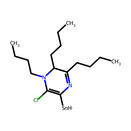 CCCCC1=N[C]([SnH])=C(Cl)N(CCCC)C1CCCC